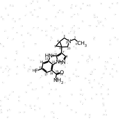 CCN1CC2CC2(c2cnn3c2[nH]c2cc(F)cc(C(N)=O)c23)C1